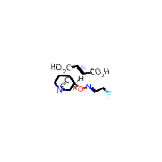 FCC=NO[C@H]1CN2CCC1CC2.O=C(O)/C=C/C(=O)O